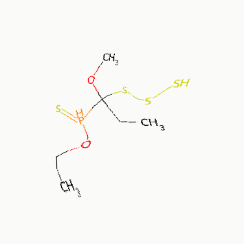 CCO[PH](=S)C(CC)(OC)SSS